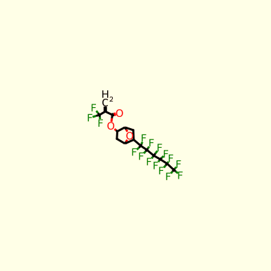 C=C(C(=O)OC1CC2OC1CC2C(F)(F)C(F)(F)C(F)(F)C(F)(F)C(F)(F)C(F)(F)F)C(F)(F)F